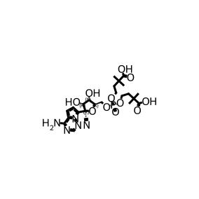 CC(C)(CCOP(=O)(OCCC(C)(C)C(=O)O)OC[C@H]1O[C@@](C#N)(c2ccc3c(N)ncnn23)[C@H](O)[C@@H]1O)C(=O)O